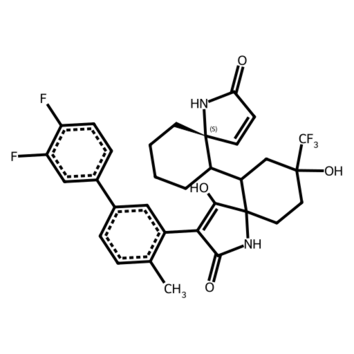 Cc1ccc(-c2ccc(F)c(F)c2)cc1C1=C(O)C2(CCC(O)(C(F)(F)F)CC2C2CCCC[C@@]23C=CC(=O)N3)NC1=O